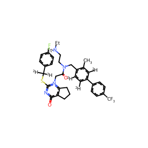 [2H]c1c([2H])c(-c2ccc(C(F)(F)F)cc2)c([2H])c(C)c1CN(CCN(CC)CC)C(=O)Cn1c(SC([2H])([2H])c2ccc(F)cc2)nc(=O)c2c1CCC2